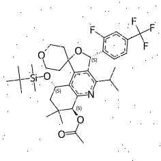 CC(=O)O[C@@H]1c2nc(C(C)C)c3c(c2[C@@H](O[Si](C)(C)C(C)(C)C)CC1(C)C)C1(CCOCC1)O[C@@H]3c1ccc(C(F)(F)F)cc1F